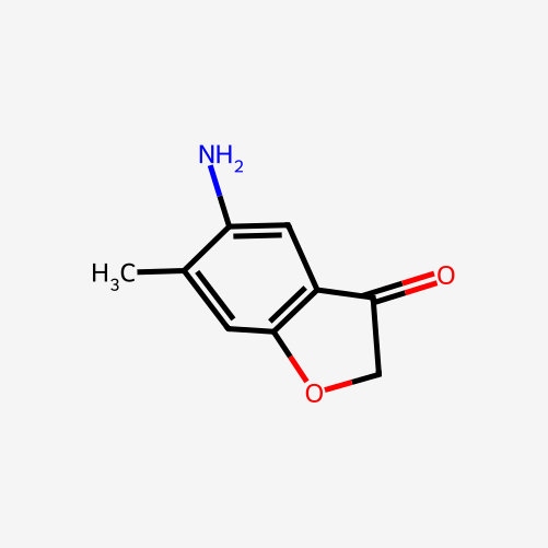 Cc1cc2c(cc1N)C(=O)CO2